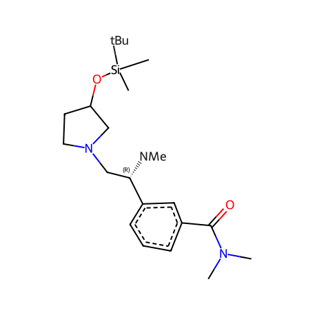 CN[C@@H](CN1CCC(O[Si](C)(C)C(C)(C)C)C1)c1cccc(C(=O)N(C)C)c1